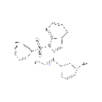 CC(=O)c1cccc(/C(=C/C(C)C)c2cc3cccnc3n2S(=O)(=O)c2ccccc2)c1